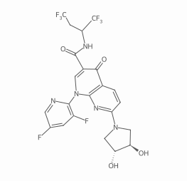 O=C(NC(CC(F)(F)F)C(F)(F)F)c1cn(-c2ncc(F)cc2F)c2nc(N3C[C@@H](O)[C@H](O)C3)ccc2c1=O